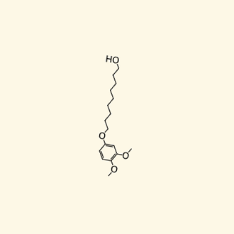 COc1ccc(OCCCCCCCCCO)cc1OC